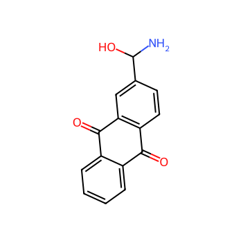 NC(O)c1ccc2c(c1)C(=O)c1ccccc1C2=O